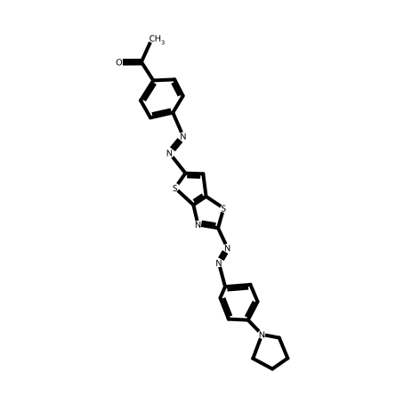 CC(=O)c1ccc(N=Nc2cc3sc(N=Nc4ccc(N5CCCC5)cc4)nc3s2)cc1